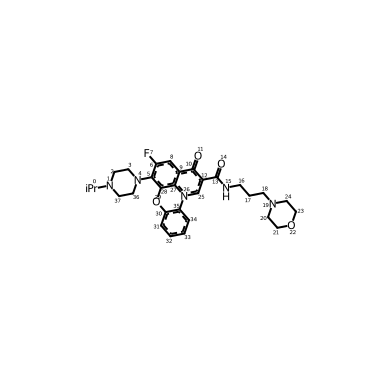 CC(C)N1CCN(c2c(F)cc3c(=O)c(C(=O)NCCCN4CCOCC4)cn4c3c2Oc2ccccc2-4)CC1